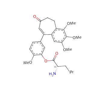 COc1ccc(C2=CC(=O)CCc3c2cc(OC)c(OC)c3OC)cc1OC(=O)[C@@H](N)CC(C)C